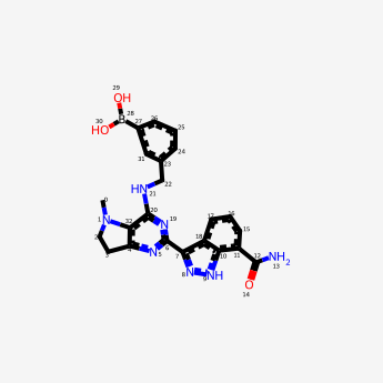 CN1CCc2nc(-c3n[nH]c4c(C(N)=O)cccc34)nc(NCc3cccc(B(O)O)c3)c21